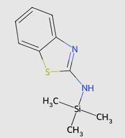 C[Si](C)(C)Nc1nc2ccccc2s1